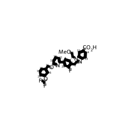 COCCn1c(Cc2ccc(-c3cccc(OCc4cccc(OC(F)F)c4)n3)cc2F)nc2ccc(C(=O)O)cc21